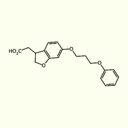 O=C(O)CC1COc2cc(OCCCOc3ccccc3)ccc21